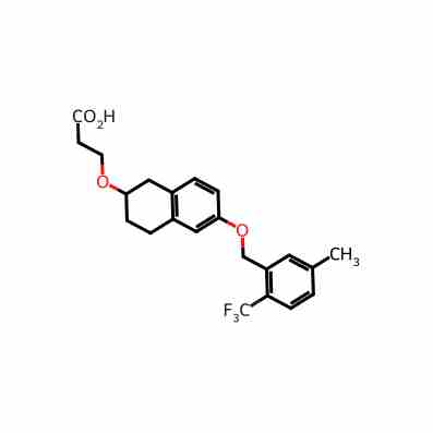 Cc1ccc(C(F)(F)F)c(COc2ccc3c(c2)CCC(OCCC(=O)O)C3)c1